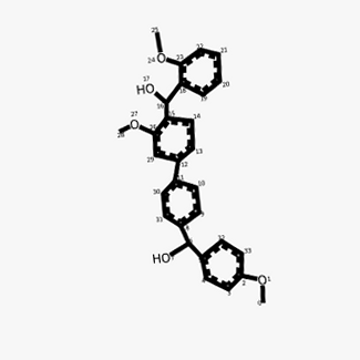 COc1ccc(C(O)c2ccc(-c3ccc(C(O)c4ccccc4OC)c(OC)c3)cc2)cc1